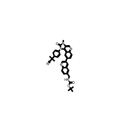 Cn1c(=O)n(C2=CCC(C(C)(C)C#N)C=C2)c2c3cc(-c4cnc5ccc(CNC(=O)OC(C)(C)C)cc5c4)ccc3ncc21